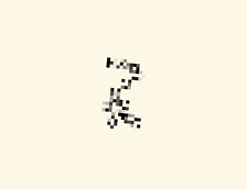 CN1C=Cc2cccc(-c3ccc(-c4cccc(N5c6ccccc6-c6c(n(-c7ccc8ccccc8c7)c7ccccc67)-c6ccccc65)c4)cc3)c2C1